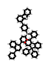 c1ccc(-c2ccc(-c3ccc(N(c4ccc(-c5cccc6c5oc5ccccc56)cc4)c4ccccc4-c4cccc5c4-c4ccccc4C5(c4ccccc4)c4ccccc4)cc3)c3ccccc23)cc1